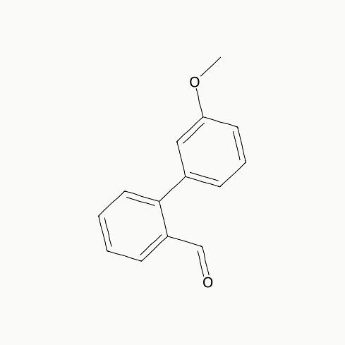 COc1cccc(-c2ccccc2C=O)c1